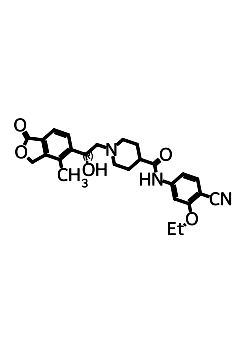 CCOc1cc(NC(=O)C2CCN(C[C@H](O)c3ccc4c(c3C)COC4=O)CC2)ccc1C#N